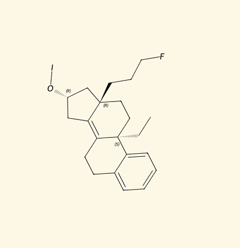 CC[C@@]12CC[C@@]3(CCCF)C[C@@H](OI)CC3=C1CCc1ccccc12